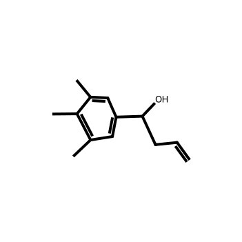 C=CCC(O)c1cc(C)c(C)c(C)c1